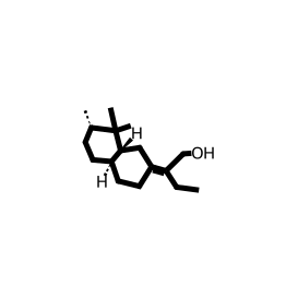 CCC(CO)=C1CC[C@H]2CC[C@H](C)C(C)(C)[C@@H]2C1